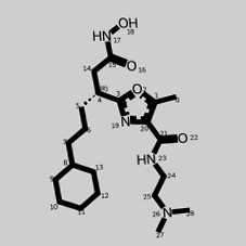 Cc1oc([C@H](CCCC2CCCCC2)CC(=O)NO)nc1C(=O)NCCN(C)C